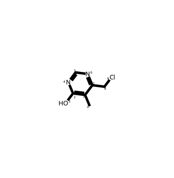 Cc1c(O)ncnc1CCl